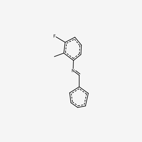 Cc1c(F)cccc1N=Cc1ccccc1